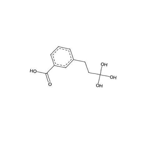 O=C(O)c1cccc(CCC(O)(O)O)c1